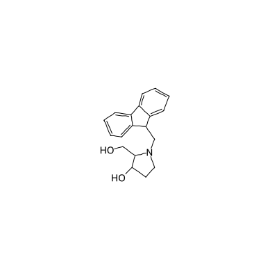 OCC1C(O)CCN1CC1c2ccccc2-c2ccccc21